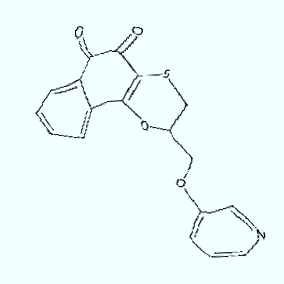 O=C1C(=O)c2ccccc2C2=C1SCC(COc1cccnc1)O2